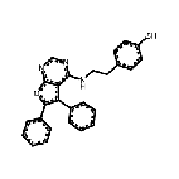 Sc1ccc(CCNc2ncnc3oc(-c4ccccc4)c(-c4ccccc4)c23)cc1